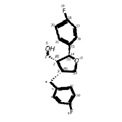 OC[C@H]1[C@@H](Cc2ccc(F)cc2)CO[C@@H]1c1ccc(F)cc1